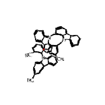 N#Cc1cc(-c2cccc(C#N)c2-n2c3ccccc3c3cc(C#N)ccc32)cc(-n2c3ccccc3c3cccc(-n4c5ccccc5c5ccccc54)c32)c1